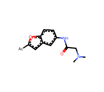 CC(=O)c1cc2cc(NC(=O)CN(C)C)ccc2o1